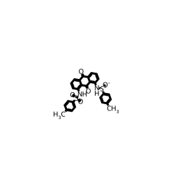 Cc1ccc([S+]([O-])Nc2cccc3c2C(=O)c2c(NS(=O)(=O)c4ccc(C)cc4)cccc2C3=O)cc1